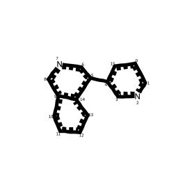 c1cncc(-c2cncc3ccccc23)c1